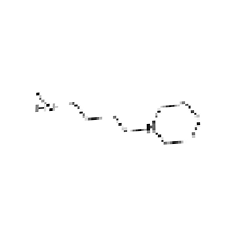 INCCCCN1CCCCC1